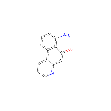 Nc1cccc2c3ccc[nH]c-3cc(=O)c12